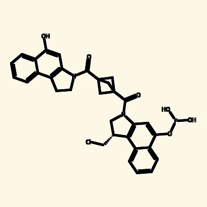 O=C(N1CCc2c1cc(O)c1ccccc21)C12CC(C(=O)N3C[C@@H](CCl)c4c3cc(OP(O)O)c3ccccc43)(C1)C2